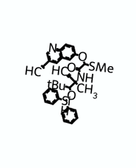 C#Cc1cnc2ccc(OC(SC)C(=O)NC(C)(C#C)C(O[SiH](c3ccccc3)c3ccccc3)C(C)(C)C)cc2c1